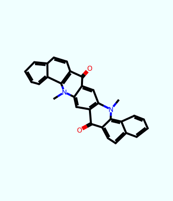 Cn1c2cc3c(=O)c4ccc5ccccc5c4n(C)c3cc2c(=O)c2ccc3ccccc3c21